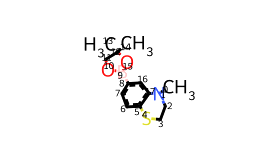 CN1CCSc2ccc(B3OCC(C)(C)O3)cc21